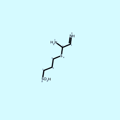 N=CC(N)SCCCS(=O)(=O)O